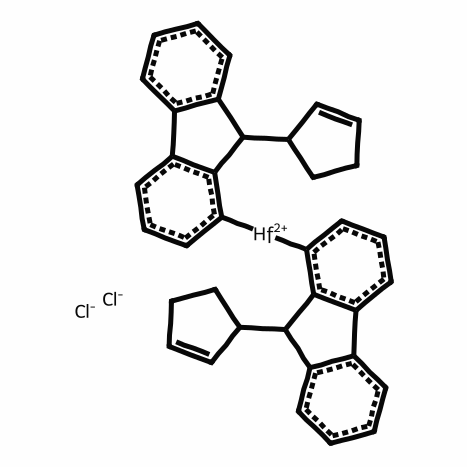 C1=CC(C2c3ccccc3-c3ccc[c]([Hf+2][c]4cccc5c4C(C4C=CCC4)c4ccccc4-5)c32)CC1.[Cl-].[Cl-]